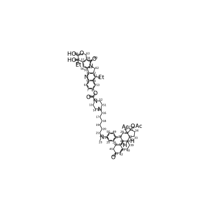 CCc1c2c(nc3ccc(OC(=O)N4CCN(CCCCCCN(C)c5ccc([C@H]6C[C@@]7(C)[C@@H](CC[C@]7(OC(C)=O)C(C)=O)[C@@H]7CCC8=CC(=O)CCC8=C76)cc5)CC4)cc13)-c1cc3c(c(=O)n1C2)COC(O)[C@]3(O)CC